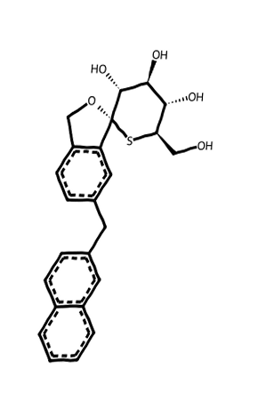 OC[C@H]1S[C@]2(OCc3ccc(Cc4ccc5ccccc5c4)cc32)[C@H](O)[C@@H](O)[C@@H]1O